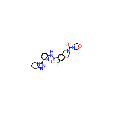 O=C(Nc1cccc(-c2nnc3n2CCCC3)n1)c1cc2c(cc1F)CCN(C(=O)N1CCOCC1)C2